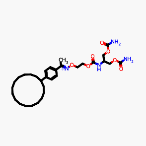 C/C(=N\OCCOC(=O)NC(COC(N)=O)COC(N)=O)c1ccc(C2CCCCCCCCCCCCCCC2)cc1